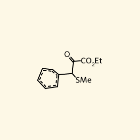 CCOC(=O)C(=O)C(SC)c1ccccc1